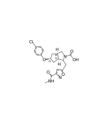 CNC(=O)c1cc(CC2[C@H]3C[C@@H](Oc4ccc(Cl)cc4)C[C@H]3CN2C(=O)O)on1